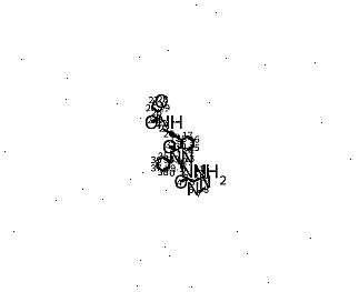 C[C@@H](NC(=O)c1nccnc1N)c1nc2cccc(C#CCNC(=O)[C@H]3CCOC3)c2c(=O)n1-c1ccccc1